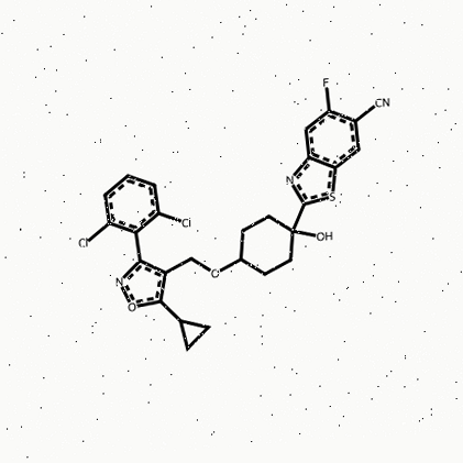 N#Cc1cc2sc(C3(O)CCC(OCc4c(-c5c(Cl)cccc5Cl)noc4C4CC4)CC3)nc2cc1F